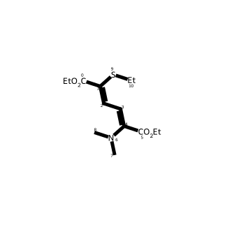 CCOC(=O)C(=CC=C(C(=O)OCC)N(C)C)SCC